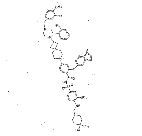 CCc1cc(CN2CCN(C3CC4(CCN(c5ccc(C(=O)NS(=O)(=O)c6ccc(NCC7CCC(C)(O)CC7)c([N+](=O)[O-])c6)c(Oc6cnc7[nH]ccc7c6)c5)CC4)C3)C(c3ccccc3C(C)C)C2)ccc1OC